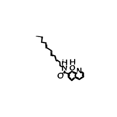 CCCCCCCCCCCNC(=O)c1ccc2cccnc2c1O